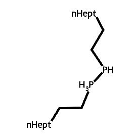 CCCCCCCCCP[PH3]CCCCCCCCC